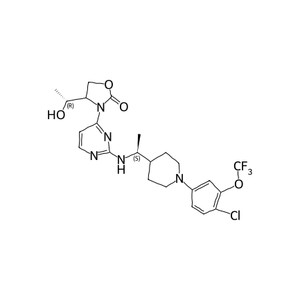 C[C@H](Nc1nccc(N2C(=O)OCC2[C@@H](C)O)n1)C1CCN(c2ccc(Cl)c(OC(F)(F)F)c2)CC1